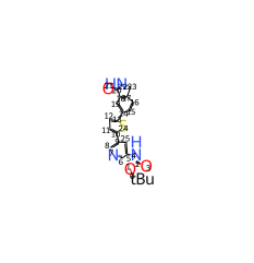 CC(C)(C)OC(=O)Nc1cncc(-c2ccc(-c3ccc4c(c3)C(=O)NC4)s2)c1